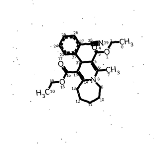 CCOC(=O)C1=C(C)N2CCCCCC2=C(C(=O)OCC)C1c1ccccc1C#N